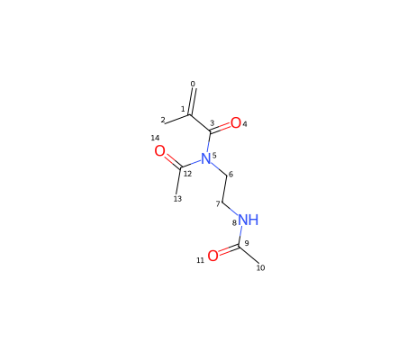 C=C(C)C(=O)N(CCNC(C)=O)C(C)=O